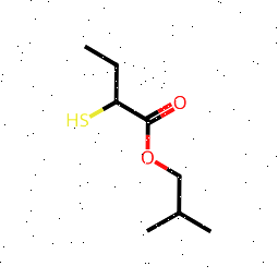 CCC(S)C(=O)OCC(C)C